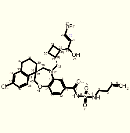 C=CCCNS(=O)(=O)NC(=O)c1ccc2c(c1)N(C[C@@H]1CC[C@H]1C(O)/C=C/CCC)C[C@@]1(CCCc3cc(Cl)ccc31)CO2